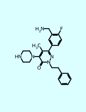 Cc1c(-c2ccc(F)c(CN)c2)nn(CCc2ccccc2)c(=O)c1N1CCNCC1